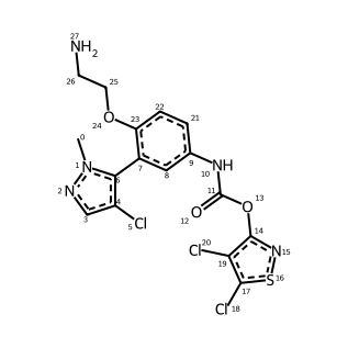 Cn1ncc(Cl)c1-c1cc(NC(=O)Oc2nsc(Cl)c2Cl)ccc1OCCN